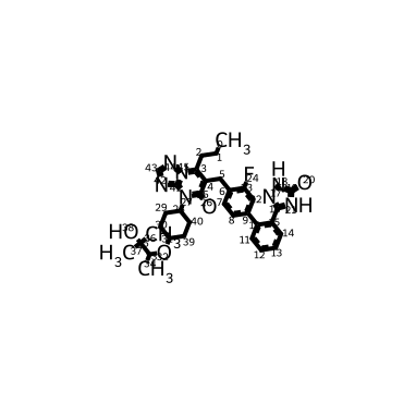 CCCc1c(Cc2ccc(-c3ccccc3-c3n[nH]c(=O)[nH]3)cc2F)c(=O)n(C2CCC(OC(C)C(C)(C)O)CC2)c2ncnn12